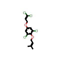 CC(C)=CCOc1c(Cl)cc(OCC=C(Cl)Cl)cc1Cl